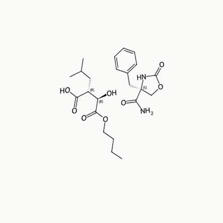 CCCCOC(=O)[C@H](O)[C@@H](CC(C)C)C(=O)O.NC(=O)[C@]1(Cc2ccccc2)COC(=O)N1